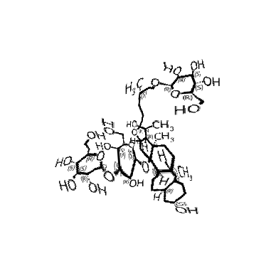 C[C@@H](CC[C@@]1(O)O[C@H]2CC3(O[C@@H]4O[C@H](CO)[C@H](O)[C@H](O[C@@H]5O[C@H](CO)[C@@H](O)[C@H](O)[C@H]5O)[C@H]4O)[C@@H]4CC[C@@H]5C[C@@H](O)CC[C@]5(C)[C@H]4CC[C@]3(C)[C@H]2[C@@H]1C)CO[C@@H]1O[C@H](CO)[C@@H](O)[C@H](O)[C@H]1O